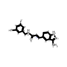 Nc1n[nH]c2ccc(/C=C/C(=O)NCc3cc(F)cc(F)c3)cc12